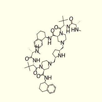 CN[C@@H](C)C(=O)N[C@H](C(=O)N1CCN(C[C@H]2CC[C@@H](CN3CCN(C(=O)[C@@H](NC(=O)[C@H](C)NC)C(C)(C)C)[C@H](C(=O)N[C@@H]4CCCc5ccccc54)C3)N2)C[C@H]1C(=O)N[C@@H]1CCCc2ccccc21)C(C)(C)C